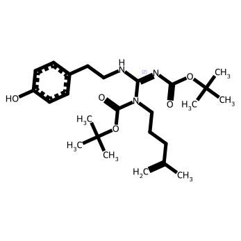 C=C(C)CCCN(C(=O)OC(C)(C)C)/C(=N\C(=O)OC(C)(C)C)NCCc1ccc(O)cc1